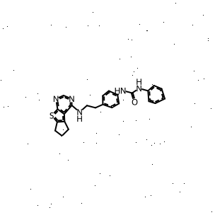 O=C(Nc1ccccc1)Nc1ccc(CCNc2ncnc3sc4c(c23)CCC4)cc1